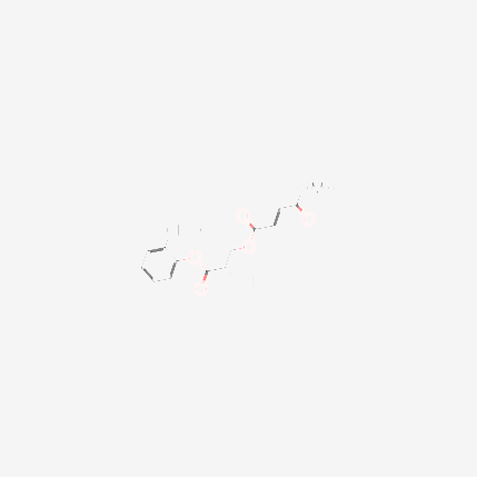 COC(=O)/C=C/C(=O)OCC(C)C(=O)Oc1ccccc1C=O